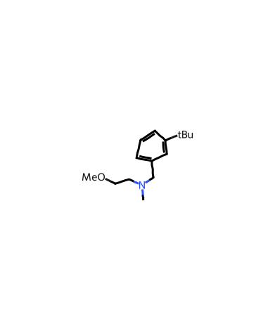 COCCN(C)Cc1cccc(C(C)(C)C)c1